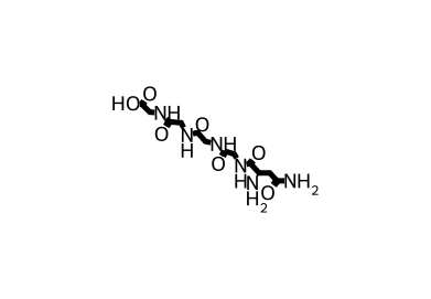 NC(=O)C[C@H](N)C(=O)NCC(=O)NCC(=O)NCC(=O)NCC(=O)O